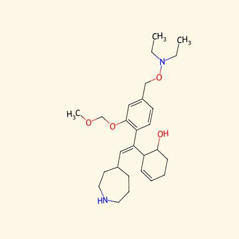 CCN(CC)OCc1ccc(/C(=C/C2CCCNCC2)C2C=CCCC2O)c(OCOC)c1